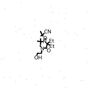 CCC1(CC)C(=O)N(CCO)CC(C)(C)N1OC(C)(C)C#N